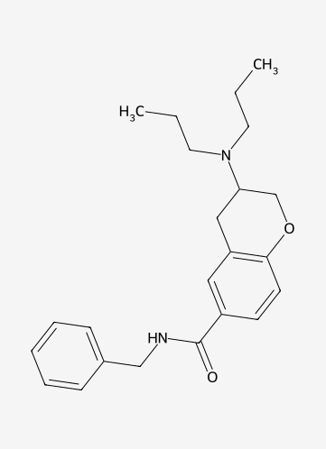 CCCN(CCC)C1COc2ccc(C(=O)NCc3ccccc3)cc2C1